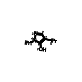 CC(C)c1cnn(C(C)C)c1O